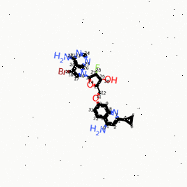 Nc1cc(C2CC2)nc2cc(OC[C@H]3O[C@@H](n4cc(Br)c5c(N)ncnc54)[C@@H](F)[C@@H]3O)ccc12